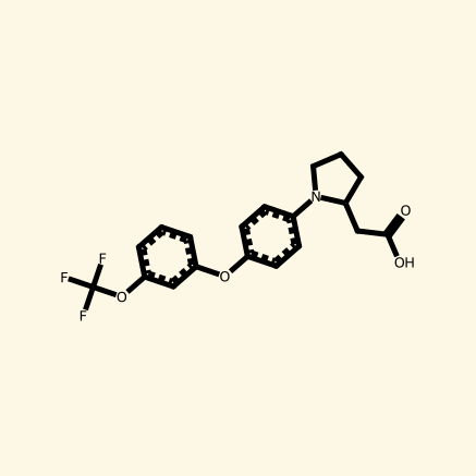 O=C(O)CC1CCCN1c1ccc(Oc2cccc(OC(F)(F)F)c2)cc1